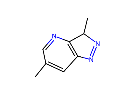 Cc1cnc2c(c1)N=NC2C